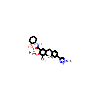 COc1c(C(=O)N[C@H]2CCCC[C@@H]2O)cc(Cc2ccc(-c3cn(C)nn3)cc2)c(C)c1C